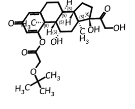 CC(C)(C)OCC(=O)OC1=CC(=O)C=C2CC[C@@H]3[C@H]([C@@H](O)C[C@@]4(C)[C@H]3CC[C@]4(O)C(=O)CO)[C@]21C